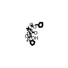 CN(C(=O)[C@H](O)[C@@H]1C(=O)N2[C@@H]1SC(C)(C)[C@@H]2C(=O)OCc1ccccc1)c1ccccc1